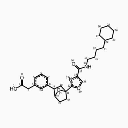 O=C(O)Cc1cccc(C2CC3(c4nc(C(=O)NCCCCC5CCCCC5)co4)CCC2O3)c1